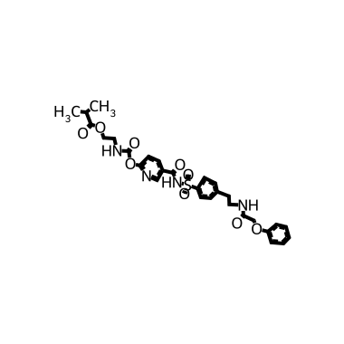 CC(C)C(=O)OCCNC(=O)Oc1ccc(C(=O)NS(=O)(=O)c2ccc(CCNC(=O)COc3ccccc3)cc2)cn1